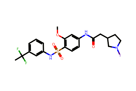 COc1cc(NC(=O)CC2CCN(I)C2)ccc1S(=O)(=O)Nc1cccc(C(C)(F)F)c1